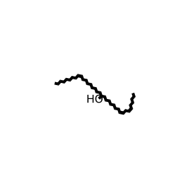 CCCCC/C=C\C/C=C\CCCCCCCC(O)CCCCCCCC/C=C\CCCCCCCC